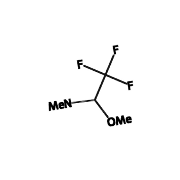 CNC(OC)C(F)(F)F